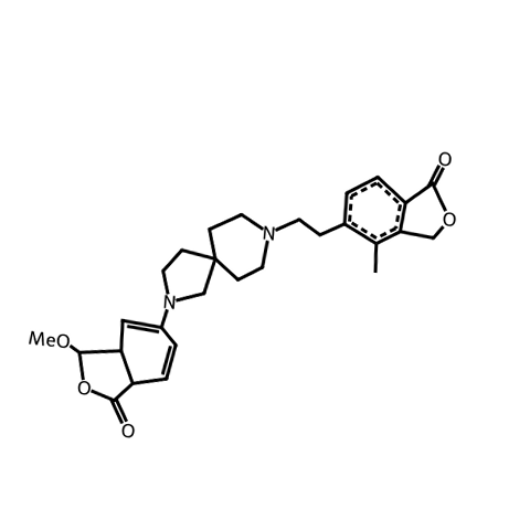 COC1OC(=O)C2C=CC(N3CCC4(CCN(CCc5ccc6c(c5C)COC6=O)CC4)C3)=CC12